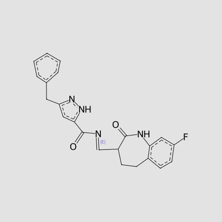 O=C(/N=C/C1CCc2ccc(F)cc2NC1=O)c1cc(Cc2ccccc2)n[nH]1